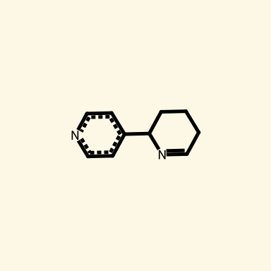 C1=NC(c2ccncc2)CCC1